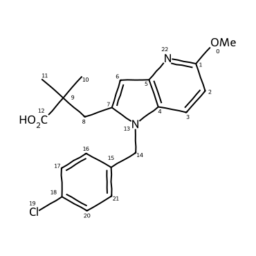 COc1ccc2c(cc(CC(C)(C)C(=O)O)n2Cc2ccc(Cl)cc2)n1